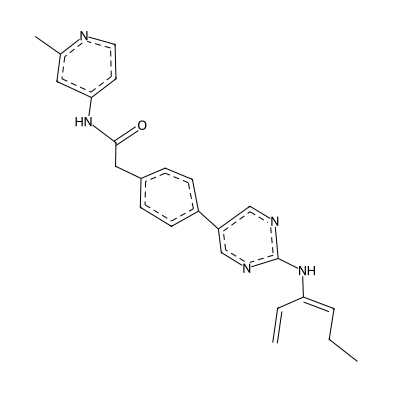 C=C/C(=C\CC)Nc1ncc(-c2ccc(CC(=O)Nc3ccnc(C)c3)cc2)cn1